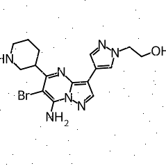 Nc1c(Br)c(C2CCCNC2)nc2c(-c3cnn(CCO)c3)cnn12